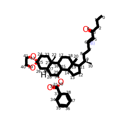 CCCC(=O)/C=C/CC[C@@H](C)C1CCC2C3C(CCC21C)[C@@]1(C)CCC2(C[C@@H]1C[C@H]3OC(=O)c1ccccc1)OCCO2